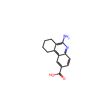 Nc1nc2ccc(C(=O)O)cc2c2c1CCCC2